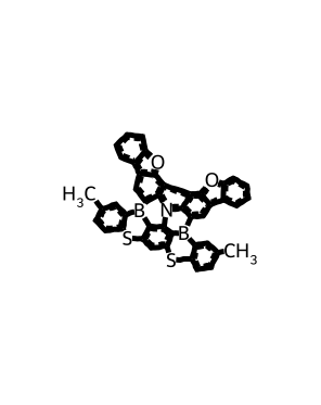 Cc1ccc2c(c1)B1c3c(cc4c5c3-n3c6c1cc1c7ccccc7oc1c6c1c6oc7ccccc7c6cc(c13)B5c1cc(C)ccc1S4)S2